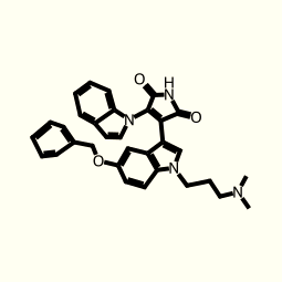 CN(C)CCCn1cc(C2=C(n3ccc4ccccc43)C(=O)NC2=O)c2cc(OCc3ccccc3)ccc21